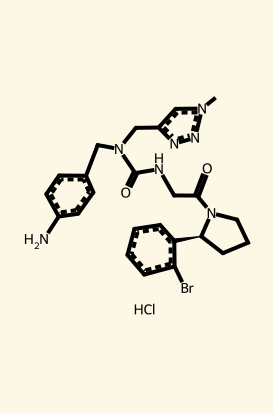 Cl.Cn1cc(CN(Cc2ccc(N)cc2)C(=O)NCC(=O)N2CCC[C@H]2c2ccccc2Br)nn1